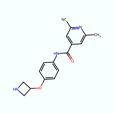 Cc1cc(C(=O)Nc2ccc(OC3CNC3)cc2)cc(C#N)n1